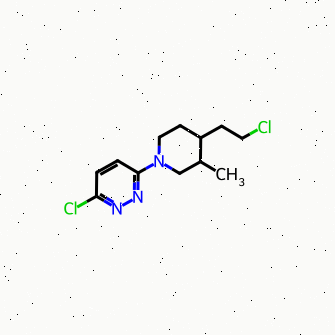 CC1CN(c2ccc(Cl)nn2)CCC1CCCl